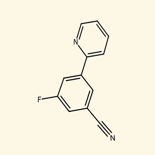 N#Cc1cc(F)cc(-c2ccccn2)c1